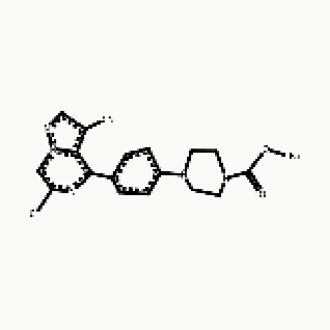 CC(C)(C)OC(=O)N1CCN(c2ccc(-c3nc(Cl)cn4ncc(C#N)c34)cc2)CC1